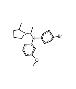 COc1cccc(N(c2ccc(Br)cc2)C(C)N2CCCC2C)c1